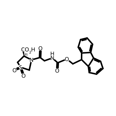 O=C(NCC(=O)N1CS(=O)(=O)C[C@H]1C(=O)O)OCC1c2ccccc2-c2ccccc21